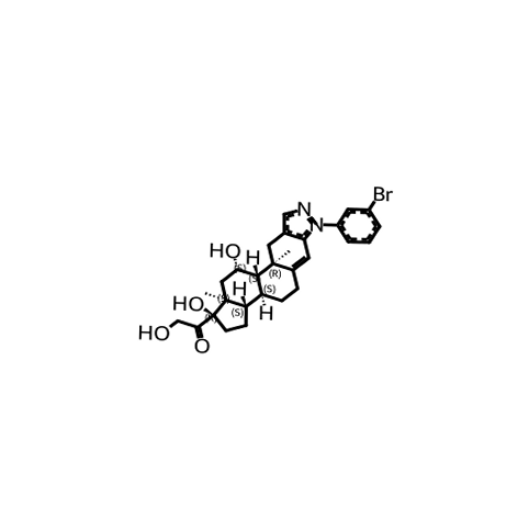 C[C@]12Cc3cnn(-c4cccc(Br)c4)c3C=C1CC[C@@H]1[C@@H]2[C@@H](O)C[C@@]2(C)[C@H]1CC[C@]2(O)C(=O)CO